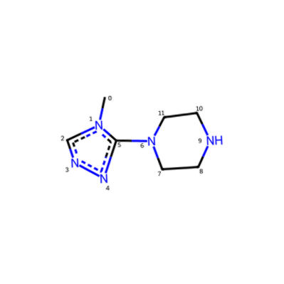 Cn1cnnc1N1CCNCC1